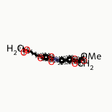 C=CC(=O)OCCCCCCOc1ccc(OC(=O)/C=C/c2ccc(-c3ccc(OC(=O)C(=C)CC(=O)OC)cc3)cc2)cc1